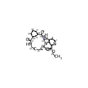 CCOC(=O)c1nccc2c1N1/C(=N/C(=O)c3cccc(c3)C(=O)NCCCC[C@@H]1C)N2